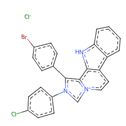 Clc1ccc(-n2c[n+]3ccc4c5ccccc5[nH]c4c3c2-c2ccc(Br)cc2)cc1.[Cl-]